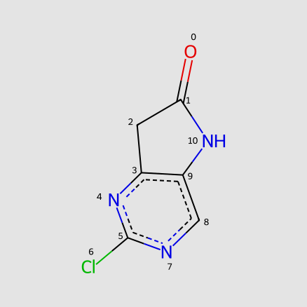 O=C1Cc2nc(Cl)ncc2N1